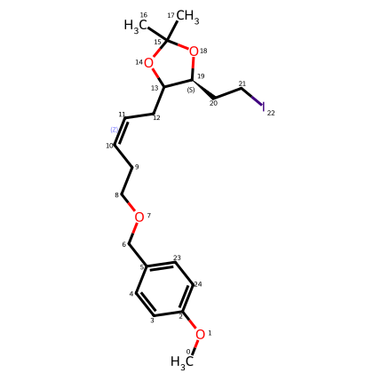 COc1ccc(COCC/C=C\CC2OC(C)(C)O[C@H]2CCI)cc1